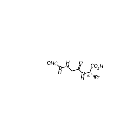 CC(C)[C@H](NC(=O)CNBC=O)C(=O)O